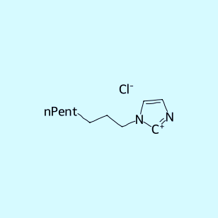 CCCCCCCCN1[C+]=NC=C1.[Cl-]